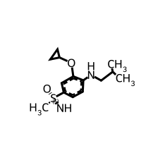 CC(C)CNc1ccc([S@@](C)(=N)=O)cc1OC1CC1